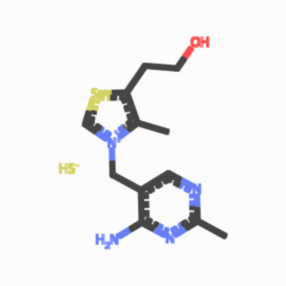 Cc1ncc(C[n+]2csc(CCO)c2C)c(N)n1.[SH-]